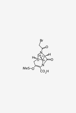 CSOC1=C(C(=O)O)N2C(=O)[C@@H]3[C@H]2[C@H](C1)CN3C(=O)CBr